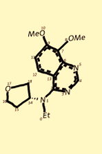 CCN(c1ncnc2c(OC)c(OC)ccc12)[C@@H]1CCOC1